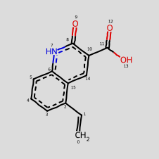 C=Cc1cccc2[nH]c(=O)c(C(=O)O)cc12